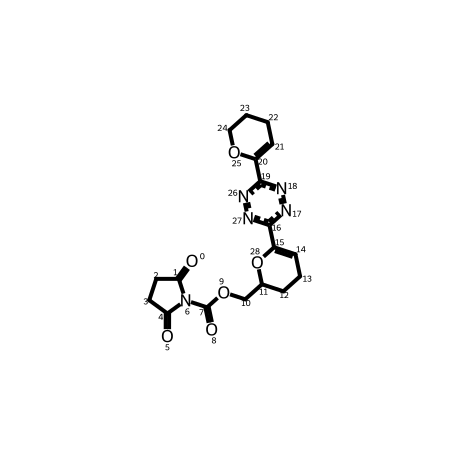 O=C1CCC(=O)N1C(=O)OCC1CCC=C(c2nnc(C3=CCCCO3)nn2)O1